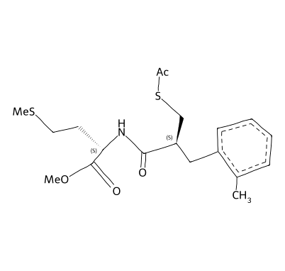 COC(=O)[C@H](CCSC)NC(=O)[C@@H](CSC(C)=O)Cc1ccccc1C